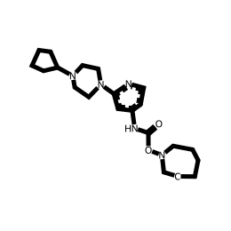 O=C(Nc1ccnc(N2CCN(C3CCCC3)CC2)c1)ON1CCCCCC1